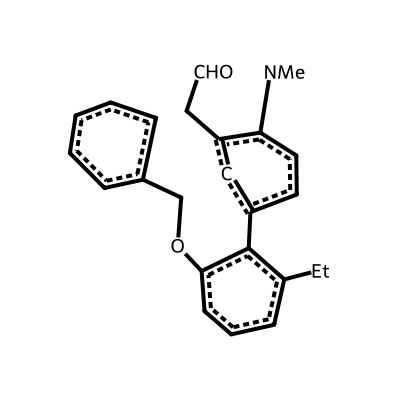 CCc1cccc(OCc2ccccc2)c1-c1ccc(NC)c(CC=O)c1